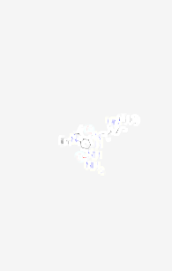 C/C(=C/C(C)=C(\C)CNC(=O)c1cc(NC(N)=O)cc2c1c(C)cn2C(C)C)NC=O